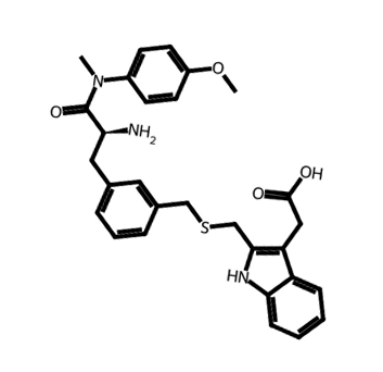 COc1ccc(N(C)C(=O)[C@@H](N)Cc2cccc(CSCc3[nH]c4ccccc4c3CC(=O)O)c2)cc1